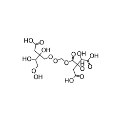 O=C(O)CC(O)(COOCOC(=O)C(O)(CC(=O)O)C(O)C(=O)O)C(O)COO